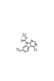 CC(C)(C)OC(=O)n1c2cc(C=O)ccc2c2c(Cl)ncnc21